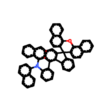 c1ccc(N(c2cccc3ccccc23)c2cccc3ccccc23)c(-c2cccc3c2-c2ccccc2C32c3ccc4ccccc4c3Oc3c2ccc2ccccc32)c1